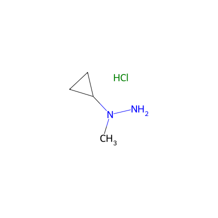 CN(N)C1CC1.Cl